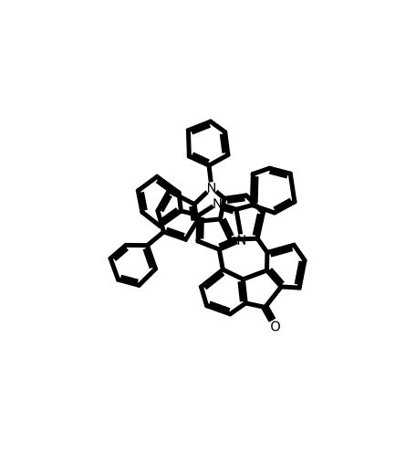 O=C1c2cccc(-c3ccc4c(c3)c3cc(-c5ccccc5)ccc3n4-c3ccccc3)c2-c2c1cccc2-c1cc(-c2ccccc2)nc(-c2ccccc2)n1